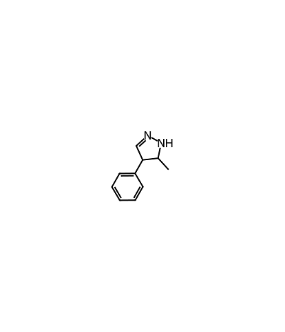 CC1NN=CC1c1ccccc1